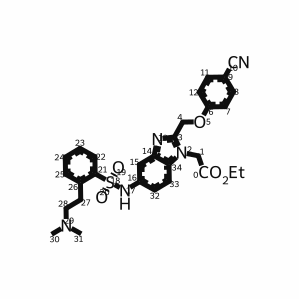 CCOC(=O)Cn1c(COc2ccc(C#N)cc2)nc2cc(NS(=O)(=O)c3ccccc3CCN(C)C)ccc21